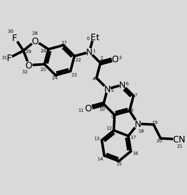 CCN(C(=O)Cn1ncc2c(c1=O)c1ccccc1n2CCC#N)c1ccc2c(c1)OC(F)(F)O2